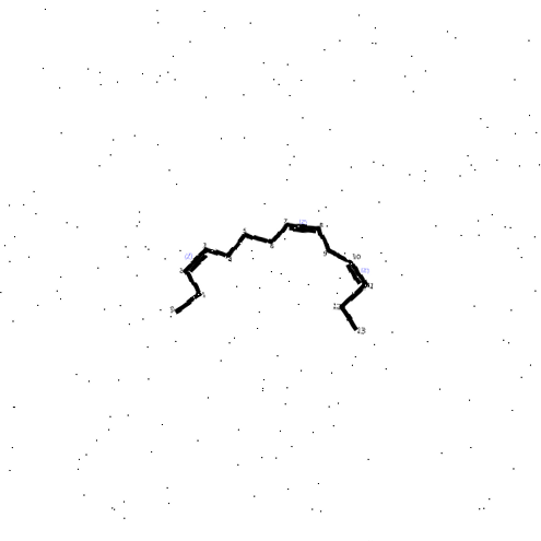 [CH2]C/C=C\CCC/C=C\C/C=C\CC